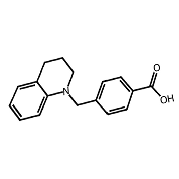 O=C(O)c1ccc(CN2CCCc3ccccc32)cc1